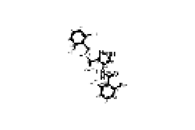 C=C(NCc1c(F)cccc1F)c1n[nH]cc1NC(=O)c1c(F)cccc1F